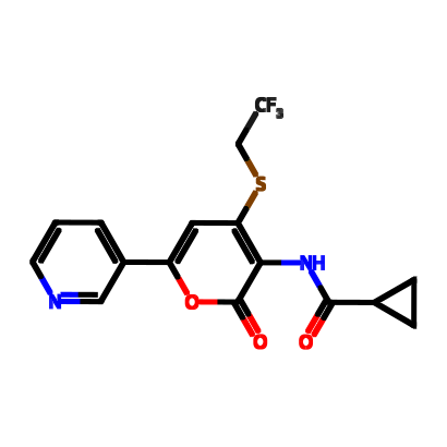 O=C(Nc1c(SCC(F)(F)F)cc(-c2cccnc2)oc1=O)C1CC1